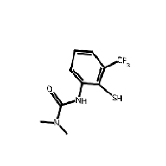 CN(C)C(=O)Nc1cccc(C(F)(F)F)c1S